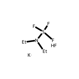 CCN(CC)S(F)(F)F.F.[K]